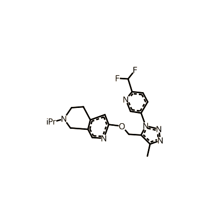 Cc1nnn(-c2ccc(C(F)F)nc2)c1COc1cc2c(cn1)CN(C(C)C)CC2